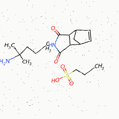 CCCC(C)(C)N.CCCS(=O)(=O)O.O=C1NC(=O)C2C3C=CC(C3)C12